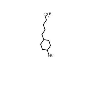 CCCCC1CCC(CCCCC(=O)O)CC1